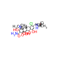 CN(C)[C@@H]1C(O)=C(C(N)=O)C(=O)[C@@]2(O)C(O)=C3C(=O)c4c(O)cc(CNC[C@H]5CC6CC5C6(C)C)c(Cl)c4C[C@H]3C[C@@H]12